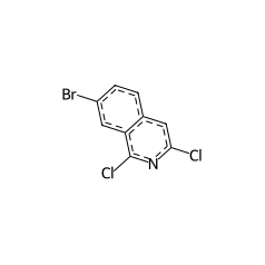 Clc1cc2ccc(Br)cc2c(Cl)n1